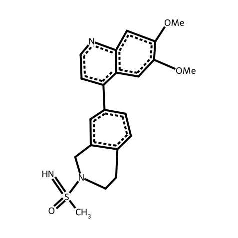 COc1cc2nccc(-c3ccc4c(c3)CN(S(C)(=N)=O)CC4)c2cc1OC